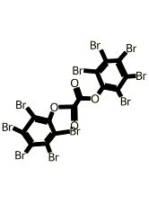 O=C(Oc1c(Br)c(Br)c(Br)c(Br)c1Br)C(=O)Oc1c(Br)c(Br)c(Br)c(Br)c1Br